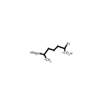 CCCCCCCC(C)CCCC(CC)C(=O)O